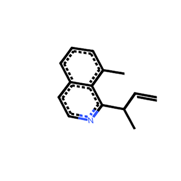 C=CC(C)c1nccc2cccc(C)c12